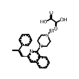 CCN1CCN(c2nc(C=C(C)c3ccccc3)cc3ccccc23)CC1.O=C(O)C(=O)O